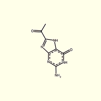 CC(=O)C1=[N+]c2nc(N)[nH]c(=O)c2N1